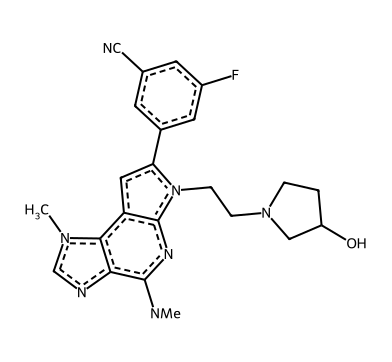 CNc1nc2c(cc(-c3cc(F)cc(C#N)c3)n2CCN2CCC(O)C2)c2c1ncn2C